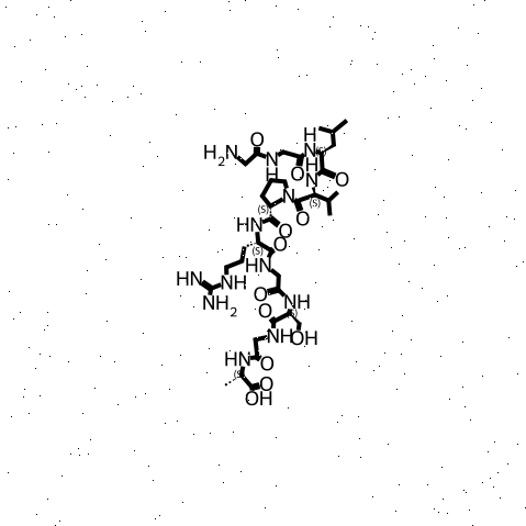 CC(C)C[C@H](NC(=O)CNC(=O)CN)C(=O)N[C@H](C(=O)N1CCC[C@H]1C(=O)N[C@@H](CCCNC(=N)N)C(=O)NCC(=O)N[C@@H](CO)C(=O)NCC(=O)N[C@@H](C)C(=O)O)C(C)C